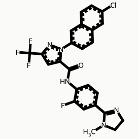 CN1CCN=C1c1ccc(NC(=O)c2cc(C(F)(F)F)nn2-c2ccc3cc(Cl)ccc3c2)c(F)c1